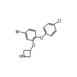 Clc1ccc(Oc2ccc(Br)cc2OC2CNC2)cc1